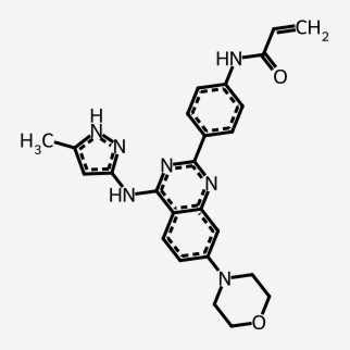 C=CC(=O)Nc1ccc(-c2nc(Nc3cc(C)[nH]n3)c3ccc(N4CCOCC4)cc3n2)cc1